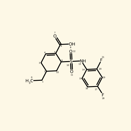 CCC1CC=C(C(=O)O)C(S(=O)(=O)Nc2ccc(F)cc2F)C1